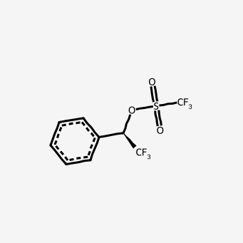 O=S(=O)(O[C@H](c1ccccc1)C(F)(F)F)C(F)(F)F